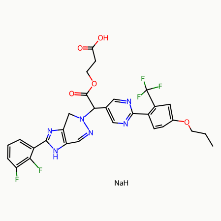 CCCOc1ccc(-c2ncc(C(C(=O)OCCC(=O)O)N3Cc4nc(-c5cccc(F)c5F)[nH]c4C=N3)cn2)c(C(F)(F)F)c1.[NaH]